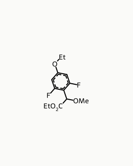 CCOC(=O)C(OC)c1c(F)cc(OCC)cc1F